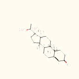 CC[C@]12CC[C@H]3[C@@H](CCC4=CC(=O)CC[C@@H]43)[C@@H]1CC[C@@]2(O)C(C)O